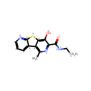 Cc1nc(C(=O)NCC(=O)O)c(O)c2sc3ncccc3c12